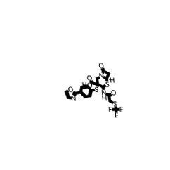 O=C(CSC(F)(F)F)NC1S[C@@H]2CC(=O)N2CC1(Sc1ccc(-c2ncco2)cc1)C(=O)O